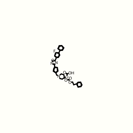 O=C(O)OC1(OC(=O)OCCc2ccccc2)CCN(Cc2ccc(-c3noc(-c4ccc(-c5ccccc5)c(F)c4)n3)cc2)CC1